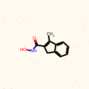 CC1=C(C(=O)NO)Cc2ccccc21